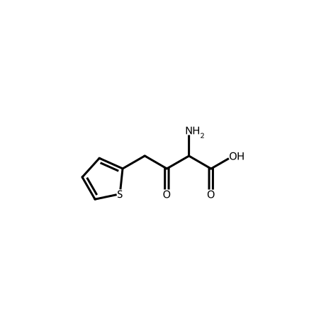 NC(C(=O)O)C(=O)Cc1cccs1